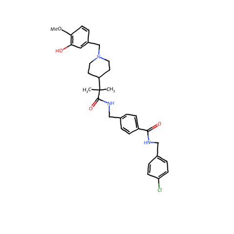 COc1ccc(CN2CCC(C(C)(C)C(=O)NCc3ccc(C(=O)NCc4ccc(Cl)cc4)cc3)CC2)cc1O